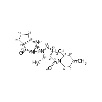 Cc1c(C(=O)N2CCC(C)CC2C)cnn1-c1nc2c(c(=O)[nH]1)CCC2